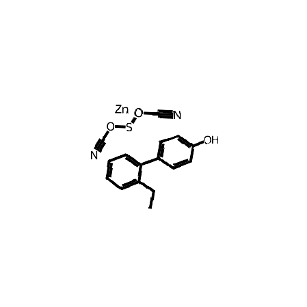 CCc1ccccc1-c1ccc(O)cc1.N#COSOC#N.[Zn]